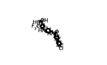 O=C(NCC1CCC(Nc2ccc(N(O)O)c(C(F)(F)F)c2)CC1)N1CCN(c2ccc(Cl)cc2)CC1